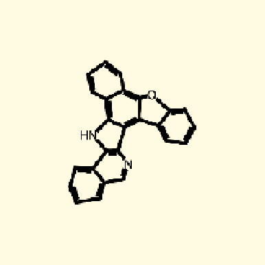 c1ccc2c(c1)cnc1c2[nH]c2c3ccccc3c3oc4ccccc4c3c12